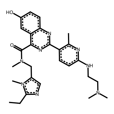 CCc1ncc(CN(C)C(=O)c2nc(-c3ccc(NCCN(C)C)nc3C)nc3ccc(O)cc23)n1C